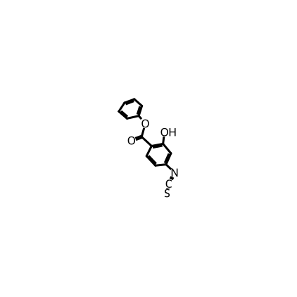 O=C(Oc1ccccc1)c1ccc(N=C=S)cc1O